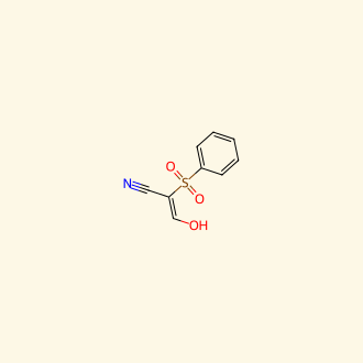 N#C/C(=C/O)S(=O)(=O)c1ccccc1